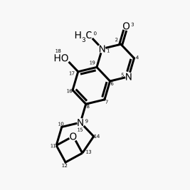 Cn1c(=O)cnc2cc(N3CC4CC(C3)O4)cc(O)c21